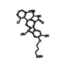 CCCCn1c2cc(OCCCNC)c(O)cc2c2c3c(c(-c4c(Cl)cccc4OC)cc21)C(=O)NC3=O